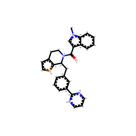 Cn1cc(C(=O)N2CCc3ccsc3C2Cc2cccc(-c3ncccn3)c2)c2ccccc21